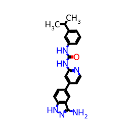 CC(C)c1cccc(NC(=O)Nc2cc(-c3ccc4[nH]nc(N)c4c3)ccn2)c1